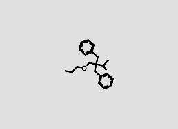 CCCOCC(Cc1ccccc1)(Cc1ccccc1)[C](C)C